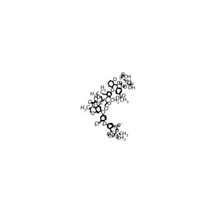 CC1COc2ccccc2N1C(=O)C(Cl)Cl.CCc1cccc(C)c1N(C(=O)CCl)C(C)COC.COC(=O)c1cc(Oc2ccc(Cl)cc2Cl)ccc1[N+](=O)[O-].CS(=O)(=O)c1ccc(C(=O)C2C(=O)CCCC2=O)c([N+](=O)[O-])c1.C[S+](C)C.O=C(O)CNCP(=O)([O-])O